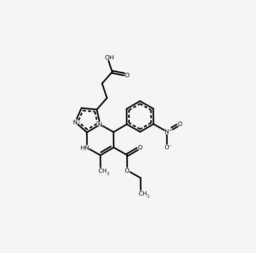 CCOC(=O)C1=C(C)Nc2ncc(CCC(=O)O)n2C1c1cccc([N+](=O)[O-])c1